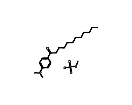 CCCCCCCCCCCC(=O)c1ccc([S+](C)C)cc1.COS(=O)(=O)[O-]